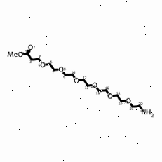 COC(=O)CCOCCOCCOCCOCCOCCOCCN